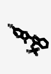 Cn1c(-n2nc3c(c2OS(=O)(=O)C(F)(F)F)CCCC3)nc2cc(C(F)(F)F)cnc21